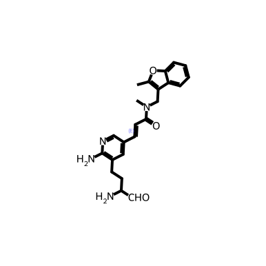 Cc1oc2ccccc2c1CN(C)C(=O)/C=C/c1cnc(N)c(CCC(N)C=O)c1